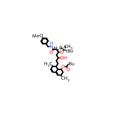 CCC(C)C(=O)OC1CC(C)C=C2C=CC(C)C(CCC(O)CC(CC(=O)NCc3ccc(OC)cc3)O[Si](C)(C)C(C)(C)C)C21